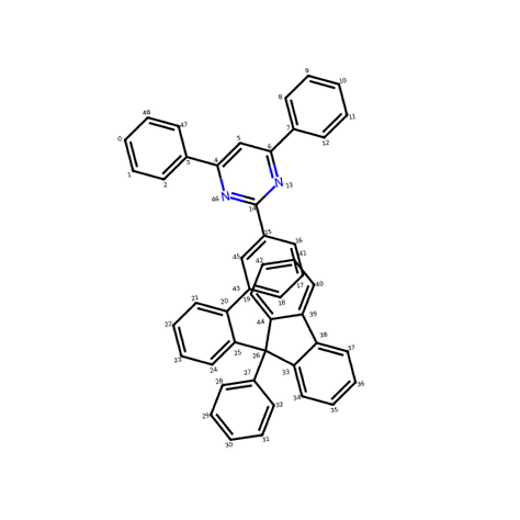 c1ccc(-c2cc(-c3ccccc3)nc(-c3cccc(-c4ccccc4C4(c5ccccc5)c5ccccc5-c5ccccc54)c3)n2)cc1